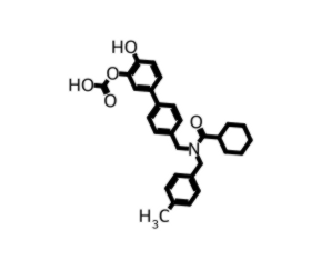 Cc1ccc(CN(Cc2ccc(-c3ccc(O)c(OC(=O)O)c3)cc2)C(=O)C2CCCCC2)cc1